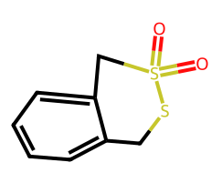 O=S1(=O)Cc2ccccc2CS1